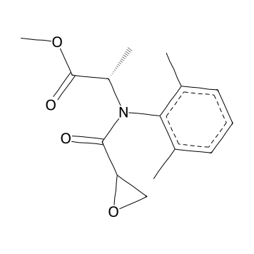 COC(=O)[C@H](C)N(C(=O)C1CO1)c1c(C)cccc1C